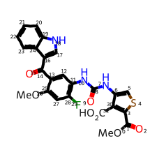 COC(=O)c1scc(NC(=O)Nc2cc(C(=O)c3c[nH]c4ccccc34)c(OC)cc2F)c1C(=O)O